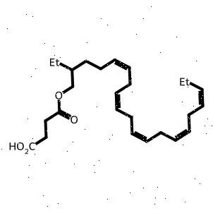 CC/C=C\C/C=C\C/C=C\C/C=C\C/C=C\CCC(CC)COC(=O)CCC(=O)O